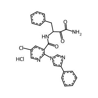 Cl.NC(=O)C(=O)C(Cc1ccccc1)NC(=O)c1cc(Cl)cnc1-n1cnc(-c2ccccc2)c1